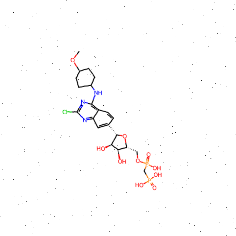 COC1CCC(Nc2nc(Cl)nc3cc([C@@H]4O[C@H](COP(=O)(O)CP(=O)(O)O)[C@@H](O)[C@H]4O)ccc23)CC1